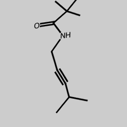 CC(C)C#CCNC(=O)C(C)(C)C